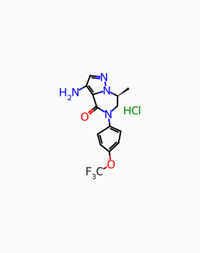 C[C@H]1CN(c2ccc(OC(F)(F)F)cc2)C(=O)c2c(N)cnn21.Cl